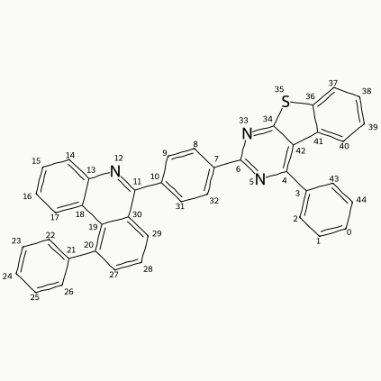 c1ccc(-c2nc(-c3ccc(-c4nc5ccccc5c5c(-c6ccccc6)cccc45)cc3)nc3sc4ccccc4c23)cc1